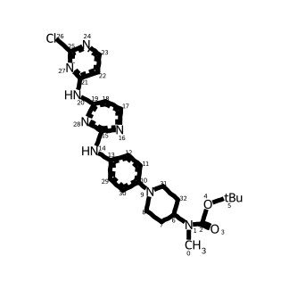 CN(C(=O)OC(C)(C)C)C1CCN(c2ccc(Nc3nccc(Nc4ccnc(Cl)n4)n3)cc2)CC1